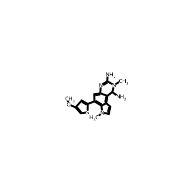 COc1csc(-c2cc3c(c4ccn(C)c24)C(N)N(C)C(N)=N3)c1